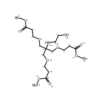 CC(C)(C)OC(=O)CCOCC(COCCC(=O)OC(C)(C)C)(COCCC(=O)OC(C)(C)C)NCCO